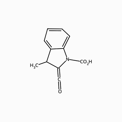 CC1C(=C=O)N(C(=O)O)c2ccccc21